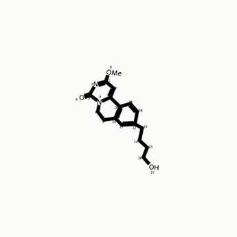 COc1cc2n(c(=O)n1)CCc1cc(CCCCO)ccc1-2